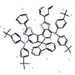 C=C/C=C(\C=C/C)c1nc2c(N(c3ccc(C(C)(C)C)cc3)c3ccc(C(C)(C)C)cc3)cc3c(c2o1)-c1c(cc(N(c2ccc(C(C)(C)C)cc2)c2ccc(C(C)(C)C)cc2)c2nc(-c4ccccc4)oc12)C31c2ccccc2-c2ccccc21